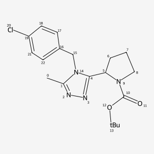 Cc1nnc(C2CCCN2C(=O)OC(C)(C)C)n1Cc1ccc(Cl)cc1